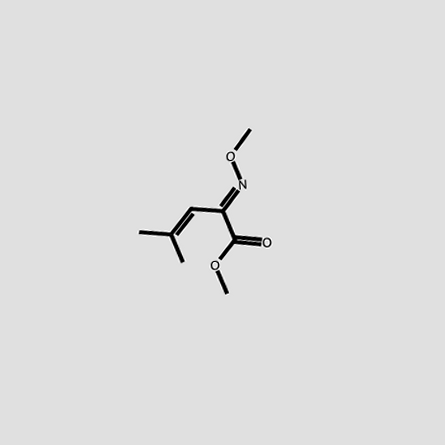 CO/N=C(\C=C(C)C)C(=O)OC